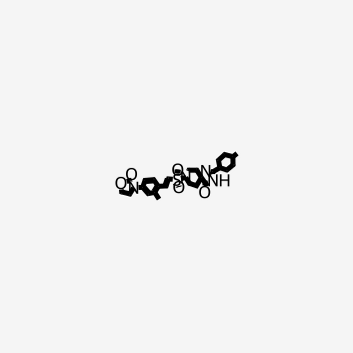 Cc1cc(N2CCOC2=O)ccc1C=CS(=O)(=O)N1CCC2(CC1)N=C(C1CCC(C)CC1)NC2=O